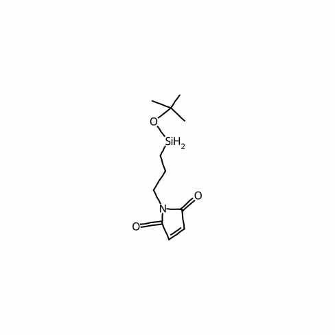 CC(C)(C)O[SiH2]CCCN1C(=O)C=CC1=O